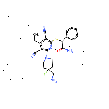 CCc1c(C#N)c(SC(C(N)=O)c2ccccc2)nc(N2CCC(F)(CN)CC2)c1C#N